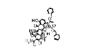 C=C(OCc1ccccc1)N(NC(=O)OCc1ccccc1)c1ccc(O)c2c1[C@H](C)[C@@H]1C(=C(O)[C@]3(O)C(=O)C(C(N)=O)=C(O)[C@@H](N(C)C)[C@@H]3[C@H]1O)C2=O